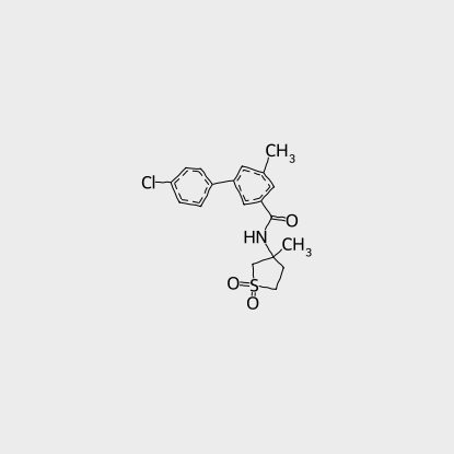 Cc1cc(C(=O)NC2(C)CCS(=O)(=O)C2)cc(-c2ccc(Cl)cc2)c1